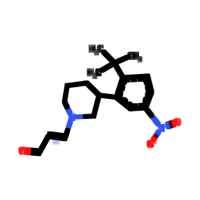 CC(C)(C)c1ccc([N+](=O)[O-])cc1C1CCCN(/C=C/C=O)C1